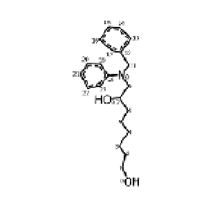 OCCCCCCC(O)CN(Cc1ccccc1)c1ccccc1